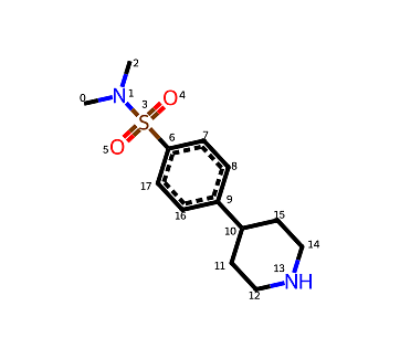 CN(C)S(=O)(=O)c1ccc(C2CCNCC2)cc1